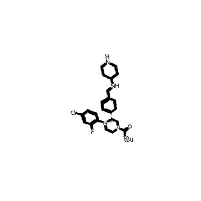 CC(C)(C)C(=O)N1CCN(c2ccc(Cl)cc2F)[C@H](c2ccc(CNC3CCNCC3)cc2)C1